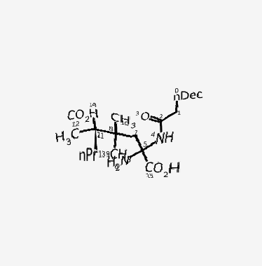 CCCCCCCCCCCC(=O)NC(N)(CC(C)(C)[C@@](C)(CCC)C(=O)O)C(=O)O